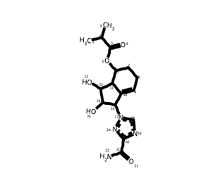 CC(C)C(=O)OC1CCC=C2C1C(O)C(O)C2n1cnc(C(N)=O)n1